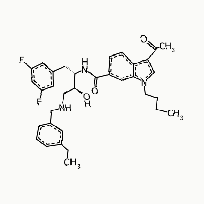 CCCCn1cc(C(C)=O)c2ccc(C(=O)N[C@@H](Cc3cc(F)cc(F)c3)[C@@H](O)CNCc3cccc(CC)c3)cc21